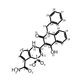 NC(=O)c1csc2c1S(=O)(=O)N=C(c1c(O)c3ccccc3n(Cc3ccccc3)c1=O)N2